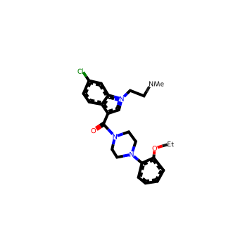 CCOc1ccccc1N1CCN(C(=O)c2cn(CCNC)c3cc(Cl)ccc23)CC1